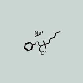 CC.CCCCCC(C)(C)C(C[O-])Oc1ccccc1.[Na+]